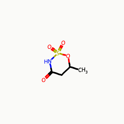 CC1CC(=O)NS(=O)(=O)O1